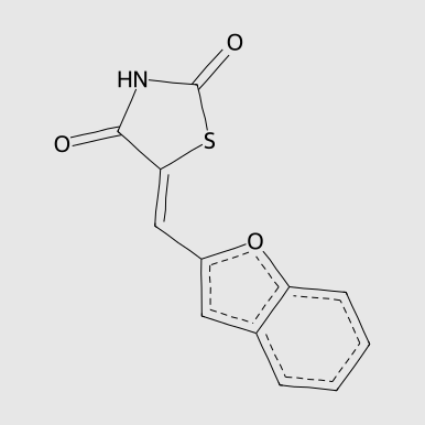 O=C1NC(=O)C(=Cc2cc3ccccc3o2)S1